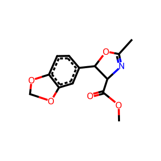 COC(=O)C1N=C(C)OC1c1ccc2c(c1)OCO2